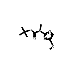 COc1cnc(N(C)C(=O)OC(C)(C)C)s1